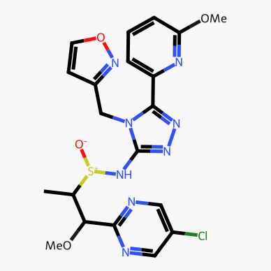 COc1cccc(-c2nnc(N[S+]([O-])C(C)C(OC)c3ncc(Cl)cn3)n2Cc2ccon2)n1